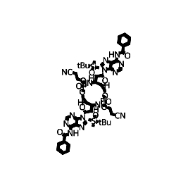 CC(C)(C)[Si](C)(C)O[C@@H]1[C@@H]2NP(=O)(OCCC#N)OC[C@H]3O[C@@H](n4cnc5c(NC(=O)c6ccccc6)ncnc54)[C@H](O[Si](C)(C)C(C)(C)C)[C@@H]3NP(=O)(OCCC#N)OC[C@H]2O[C@H]1n1cnc2c(NC(=O)c3ccccc3)ncnc21